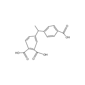 CC(c1ccc(C(=O)O)cc1)c1ccc(C(=O)O)c(C(=O)O)c1